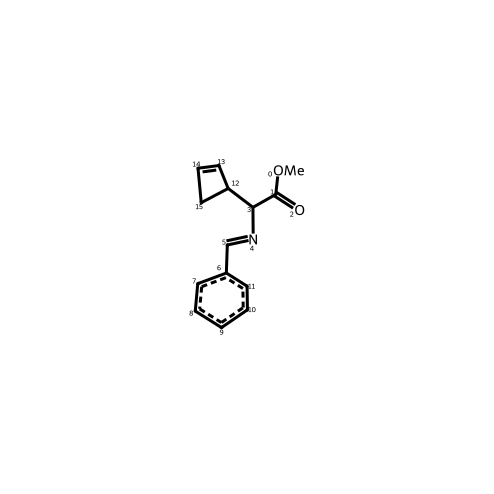 COC(=O)C(N=Cc1ccccc1)C1C=CC1